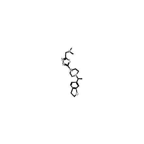 CC(c1ccc2c(c1)OCC2)N1CCN(c2nnc(CN(C)C)s2)CC1